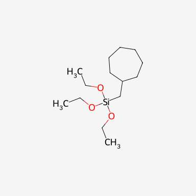 CCO[Si](CC1CCCCCC1)(OCC)OCC